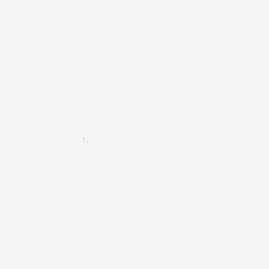 CC#Cc1cncc(-c2cccc(C(=O)C(=O)C3CC3)c2)c1